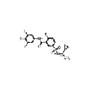 C[C@@H](NS(=O)(=O)c1ccc(F)c(C(=O)Nc2cc(F)c(F)c(F)c2)c1)C1CC1